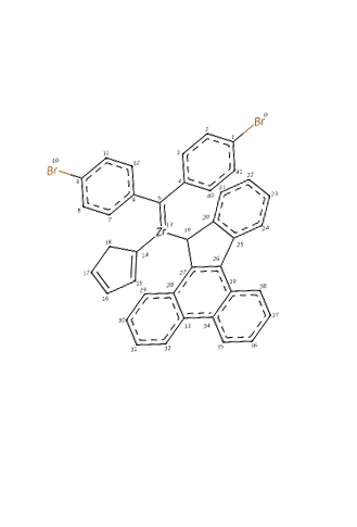 Brc1ccc([C](c2ccc(Br)cc2)=[Zr]([C]2=CC=CC2)[CH]2c3ccccc3-c3c2c2ccccc2c2ccccc32)cc1